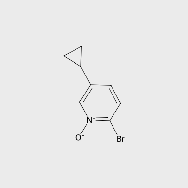 [O-][n+]1cc(C2CC2)ccc1Br